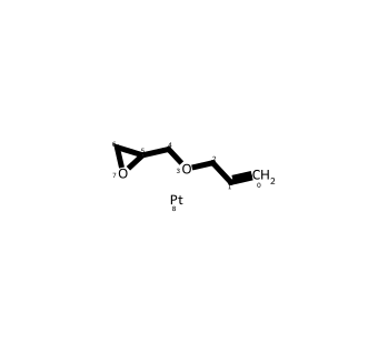 C=CCOCC1CO1.[Pt]